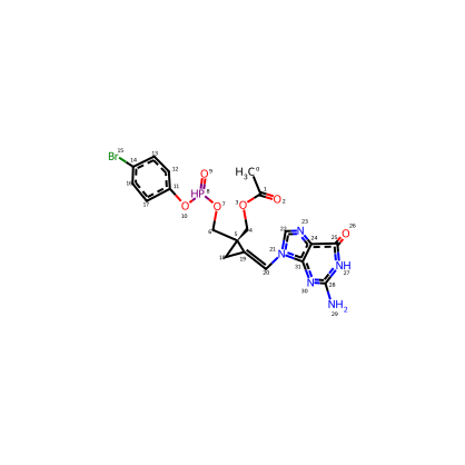 CC(=O)OC[C@]1(CO[PH](=O)Oc2ccc(Br)cc2)C/C1=C/n1cnc2c(=O)[nH]c(N)nc21